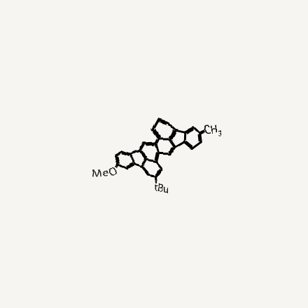 COc1ccc2c(c1)c1cc(C(C)(C)C)cc3c4cc5c6ccc(C)cc6c6cccc(c4cc2c13)c65